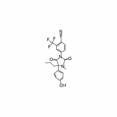 CCCC1(c2ccc(O)cc2)C(=O)N(c2ccc(C#N)c(C(F)(F)F)c2)C(=O)N1C